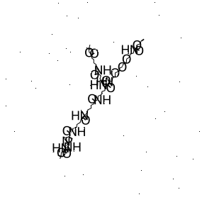 C=CCOC(=O)NCCCOCCOCCOCCCNC(=O)C(CCCCNC(=O)CCCCCNC(=O)CCCCCNC(=O)c1ccc(NNC(=O)OC(C)(C)C)nc1)NC(=O)CCC(=O)NCCCCCC(=O)OC(C)(C)C